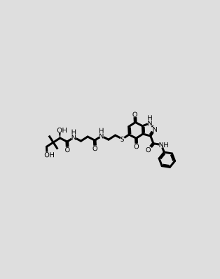 CC(C)(CO)[C@@H](O)C(=O)NCCC(=O)NCCSC1=CC(=O)c2[nH]nc(C(=O)Nc3ccccc3)c2C1=O